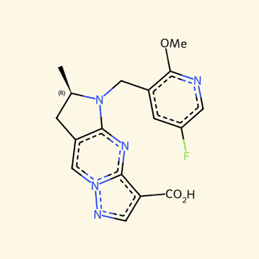 COc1ncc(F)cc1CN1c2nc3c(C(=O)O)cnn3cc2C[C@H]1C